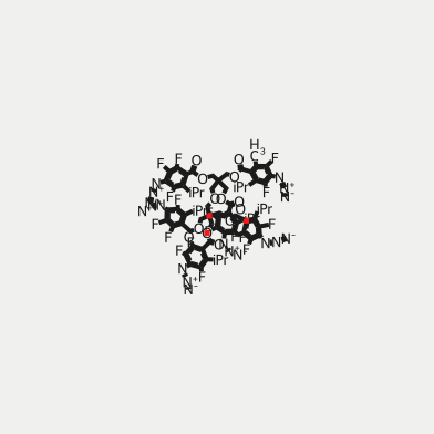 Cc1c(F)c(N=[N+]=[N-])c(F)c(C(C)C)c1C(=O)OCC(COCC(COC(=O)c1c(F)c(F)c(N=[N+]=[N-])c(F)c1C(C)C)(COC(=O)c1c(F)c(F)c(N=[N+]=[N-])c(F)c1C(C)C)COC(=O)c1c(F)c(F)c(N=[N+]=[N-])c(F)c1C(C)C)(COC(=O)c1c(F)c(F)c(N=[N+]=[N-])c(F)c1C(C)C)COC(=O)c1c(F)c(F)c(N=[N+]=[N-])c(F)c1C(C)C